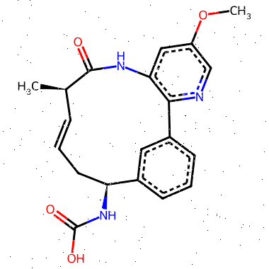 COc1cnc2c(c1)NC(=O)[C@H](C)/C=C/C[C@H](NC(=O)O)c1cccc-2c1